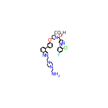 NCCN1CCN(CCn2cc3c(-c4cccc(O[C@H]5C[C@@H](C(=O)O)N(C(=O)c6cnn(-c7ccc(F)cc7Cl)c6)C5)c4)cccc3n2)CC1